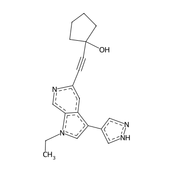 CCn1cc(-c2cn[nH]c2)c2cc(C#CC3(O)CCCC3)ncc21